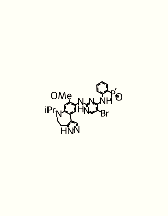 COc1cc2c(cc1Nc1ncc(Br)c(Nc3ccccc3P(C)(C)=O)n1)-c1cn[nH]c1CCN2C(C)C